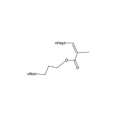 CCCCCCCC=C(C)C(=O)OCCCCCCCCCCCC